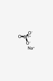 [Na+].[O-][Br+2]([O-])[O-]